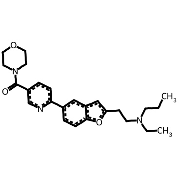 CCCN(CC)CCc1cc2cc(-c3ccc(C(=O)N4CCOCC4)cn3)ccc2o1